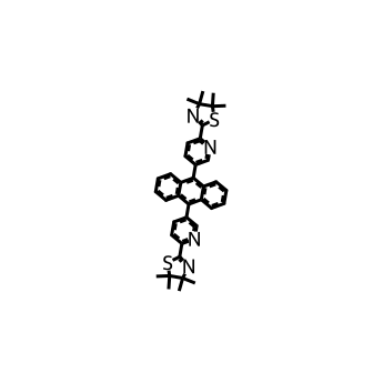 CC1(C)N=C(c2ccc(-c3c4ccccc4c(-c4ccc(C5=NC(C)(C)C(C)(C)S5)nc4)c4ccccc34)cn2)SC1(C)C